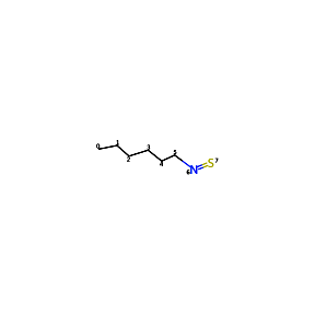 CCCCCCN=S